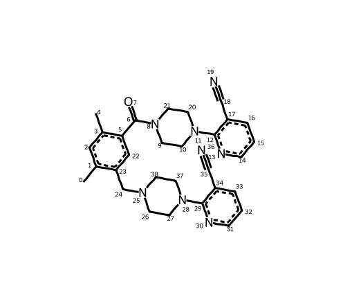 Cc1cc(C)c(C(=O)N2CCN(c3ncccc3C#N)CC2)cc1CN1CCN(c2ncccc2C#N)CC1